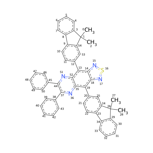 CC1(C)c2ccccc2-c2ccc(-c3c4nsnc4c(-c4ccc5c(c4)C(C)(C)c4ccccc4-5)c4nc(-c5ccccc5)c(-c5ccccc5)nc34)cc21